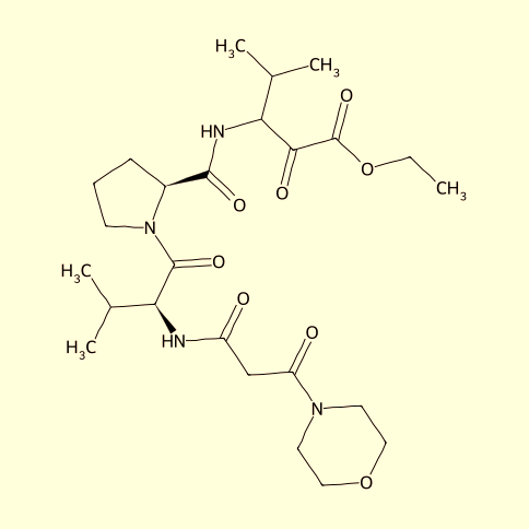 CCOC(=O)C(=O)C(NC(=O)[C@@H]1CCCN1C(=O)[C@@H](NC(=O)CC(=O)N1CCOCC1)C(C)C)C(C)C